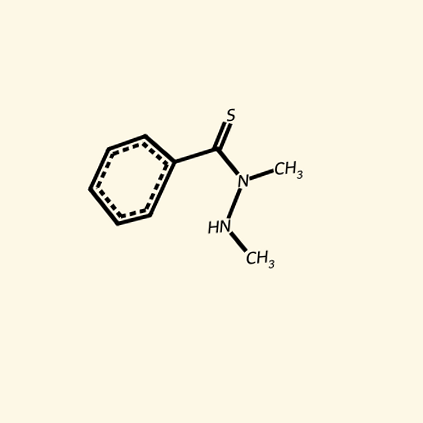 CNN(C)C(=S)c1ccccc1